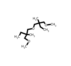 CCC(C)(COC)COCC(C)(CC)COC